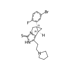 Fc1ccc(Br)cc1[C@]12C[C@H]1c1c(CCN3CCCC3)[nH]c(=S)n1C2